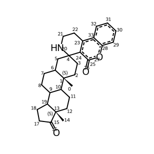 C[C@]12CCC3(CC1CCC1C2CC[C@]2(C)C(=O)CCC12)NCCc1c3c(=O)oc2ccccc12